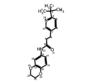 CC(C)(C)c1ccc(CCC(=O)Nc2ccc3c(c2)OCCO3)cn1